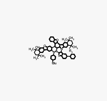 CC(C)(C)c1ccc(N2B3c4sc5ccc(-c6ccccc6)cc5c4-n4c5cc6c(cc5c5c7oc8ccccc8c7c(c3c54)-c3cc4oc5cc7c(cc5c4cc32)C(C)(C)CCC7(C)C)C(C)(C)CCC6(C)C)cc1